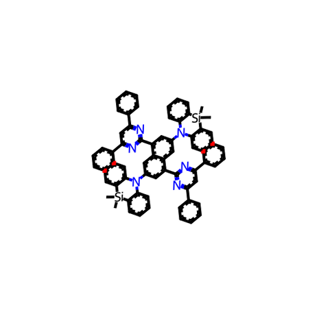 C[Si]1(C)c2ccccc2N(c2cc(-c3nc(-c4ccccc4)cc(-c4ccccc4)n3)c3cc(N4c5ccccc5[Si](C)(C)c5ccccc54)cc(-c4nc(-c5ccccc5)cc(-c5ccccc5)n4)c3c2)c2ccccc21